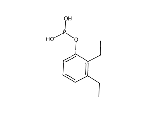 CCc1cccc(OP(O)O)c1CC